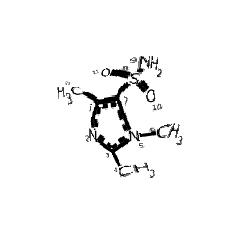 Cc1nc(C)n(C)c1S(N)(=O)=O